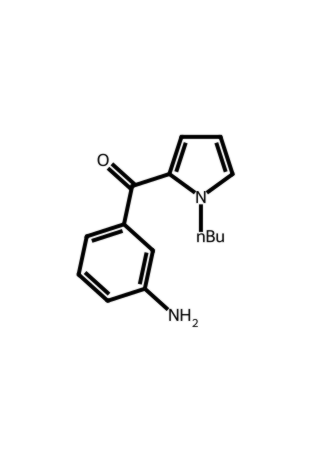 CCCCn1cccc1C(=O)c1cccc(N)c1